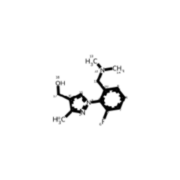 Cc1nn(-c2c(F)cccc2CN(C)C)cc1CO